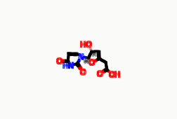 O=C(O)CC1=C[C@@H](O)[C@H](n2ccc(=O)[nH]c2=O)O1